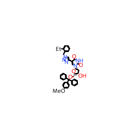 CCc1ccccc1Cn1cc(-c2cn([C@@H]3CC(O)[C@H](COC(c4ccccc4)(c4ccccc4)c4ccc(OC)cc4)O3)c(=O)[nH]c2=O)nn1